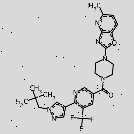 Cc1ccc2oc(N3CCN(C(=O)c4cnc(-c5cnn(CC(C)(C)C)c5)c(C(F)(F)F)c4)CC3)nc2n1